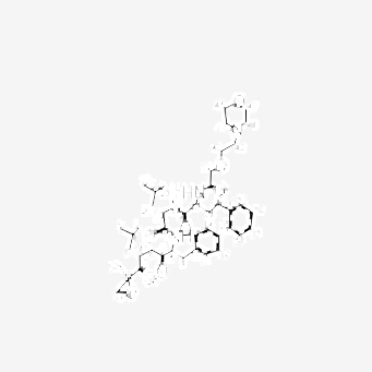 CC(C)C[C@H](CC(=O)[C@H](Cc1ccccc1)NC(=O)[C@H](CC(C)C)NC(=O)[C@H](CCc1ccccc1)NC(=O)COCCN1CCOCC1)C(=O)[C@@]1(C)CO1